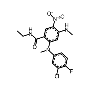 CCNC(=O)c1cc([N+](=O)[O-])c(NC)cc1N(C)c1ccc(F)c(Cl)c1